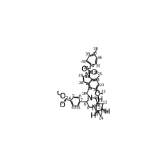 COC(=O)c1ccc(C2CN3[C@@H](C[C@@H]4C[C@@H]43)CN2Cc2c(OC)cc(C)c3c2ccn3S(=O)(=O)c2ccc(C)cc2)cc1